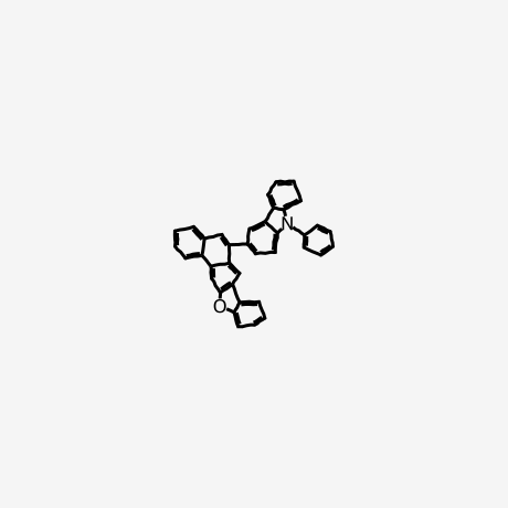 c1ccc(-n2c3ccccc3c3cc(-c4cc5ccccc5c5cc6oc7ccccc7c6cc45)ccc32)cc1